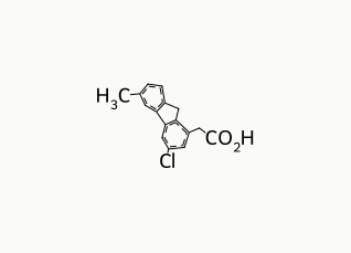 Cc1ccc2c(c1)-c1cc(Cl)cc(CC(=O)O)c1C2